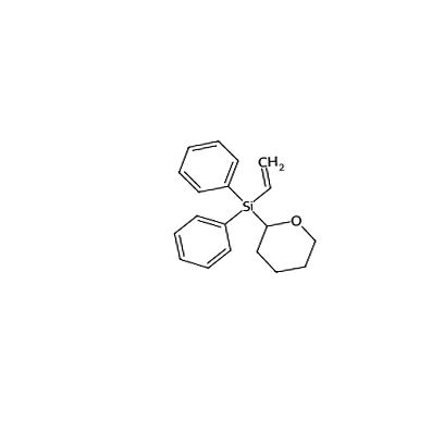 C=C[Si](c1ccccc1)(c1ccccc1)C1CCCCO1